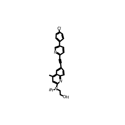 Cc1cc(N(CCO)C(C)C)nc2ccc(C#Cc3ccc(-c4ccc(Cl)cc4)cn3)cc12